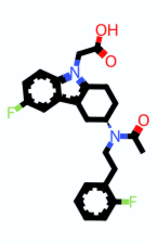 CC(=O)N(CCc1ccccc1F)[C@H]1CCc2c(c3cc(F)ccc3n2CC(=O)O)C1